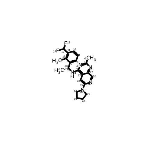 Cc1nc(N[C@H](C)c2cccc(C(F)F)c2C)c2cc(N3CCCC3)ncc2n1